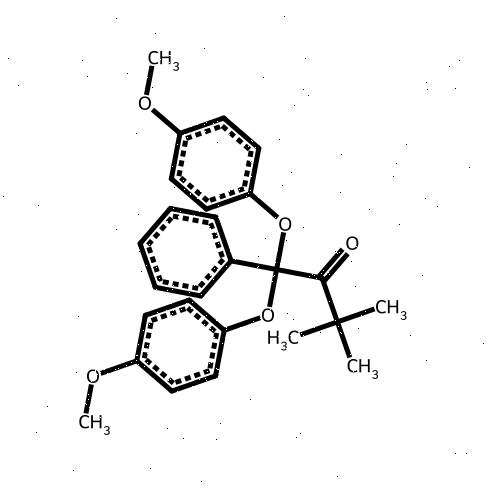 COc1ccc(OC(Oc2ccc(OC)cc2)(C(=O)C(C)(C)C)c2ccccc2)cc1